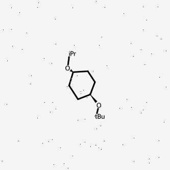 CC(C)O[C@H]1CC[C@@H](OC(C)(C)C)CC1